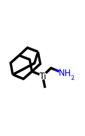 [CH3][Ti]([CH2]N)[C]12CC3CC(CC(C3)C1)C2